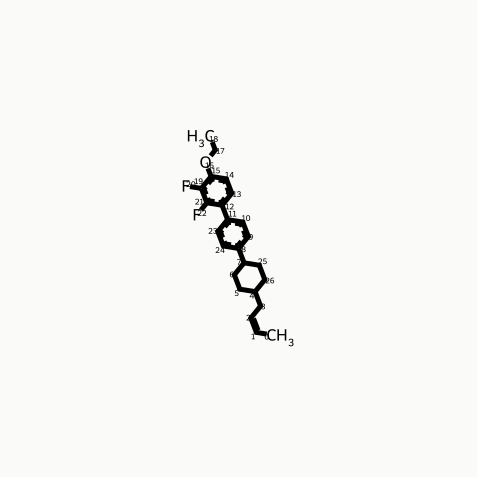 C/C=C\CC1CCC(c2ccc(-c3ccc(OCC)c(F)c3F)cc2)CC1